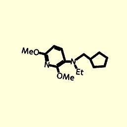 CCN(CC1CCCC1)c1ccc(OC)nc1OC